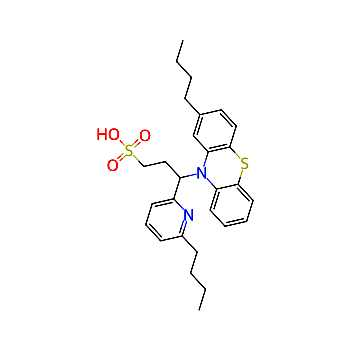 CCCCc1ccc2c(c1)N(C(CCS(=O)(=O)O)c1cccc(CCCC)n1)c1ccccc1S2